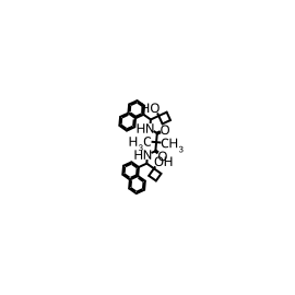 CC(C)(C(=O)NC(c1cccc2ccccc12)C1(O)CCC1)C(=O)NC(c1cccc2ccccc12)C1(O)CCC1